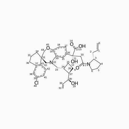 C=CC[C@@H]1CCCN1C(=O)C[C@](O)(C(=O)O)c1ccc2c(c1)N(C[C@@H]1CC[C@H]1[C@@H](O)C=C)C[C@@]1(CCCc3cc(Cl)ccc31)CO2